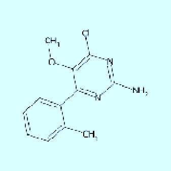 COc1c(Cl)nc(N)nc1-c1ccccc1C